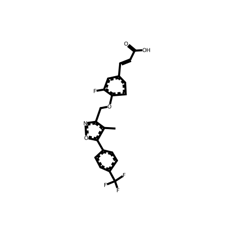 Cc1c(COc2ccc(C=CC(=O)O)cc2F)noc1-c1ccc(C(F)(F)F)cc1